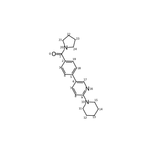 O=C(c1ccc(-c2ccc(N3CCCCC3)nc2)cc1)N1CCCC1